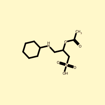 CC(=O)OC(CNC1CCCCC1)CS(=O)(=O)O